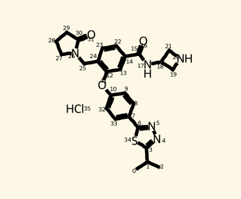 CC(C)c1nnc(-c2ccc(Oc3cc(C(=O)NC4CNC4)ccc3CN3CCCC3=O)cc2)s1.Cl